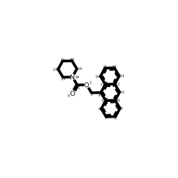 O=C(OCc1c2ccccc2cc2ccccc12)N1CCCCC1